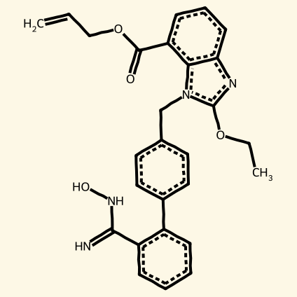 C=CCOC(=O)c1cccc2nc(OCC)n(Cc3ccc(-c4ccccc4C(=N)NO)cc3)c12